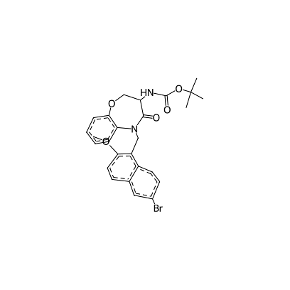 COc1ccc2cc(Br)ccc2c1CN1C(=O)C(NC(=O)OC(C)(C)C)COc2ccccc21